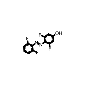 Oc1cc(F)c(/N=N/c2c(F)cccc2F)c(F)c1